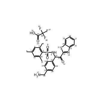 Cc1cc(C)c(S(=O)(=O)NC(C(=O)c2nc3ccccc3s2)c2ccc(CN)cc2)c(C)c1.O=C(O)C(F)(F)F